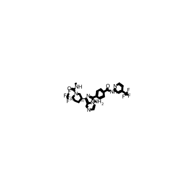 CNC(=O)N1C[C@@H](C2=C3C=NC=C[N+]3(N)C(c3ccc(C(=O)Nc4cc(C(F)(F)F)ccn4)cc3)=N2)CC[C@@H]1C(F)(F)F